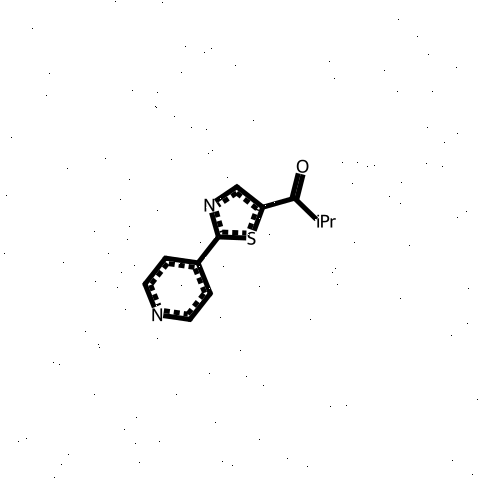 CC(C)C(=O)c1cnc(-c2ccncc2)s1